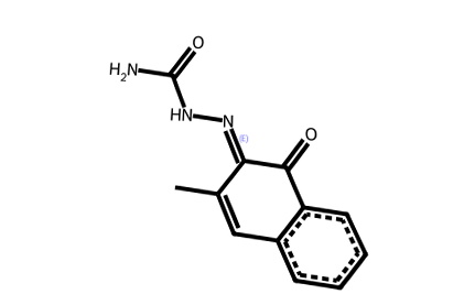 CC1=Cc2ccccc2C(=O)/C1=N/NC(N)=O